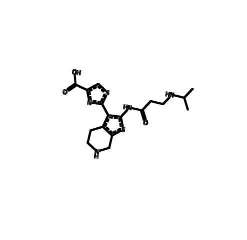 CC(C)NCCC(=O)Nc1sc2c(c1-c1nc(C(=O)O)cs1)CCNC2